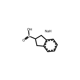 O=S(O)C1Cc2ccccc2C1.[NaH]